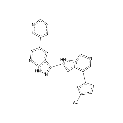 CC(=O)c1ccc(-c2cncc3[nH]c(-c4n[nH]c5ncc(-c6cccnc6)cc45)cc23)s1